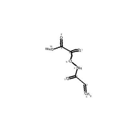 C=CC(=O)NOC(=O)C(=O)OC